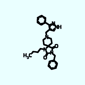 CCCCN1C(=O)N(Cc2ccccc2)C(=O)C12CCN(Cc1c[nH]nc1-c1ccccc1)CC2